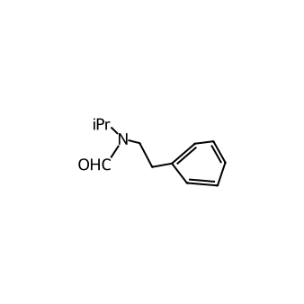 CC(C)N(C=O)CCc1ccccc1